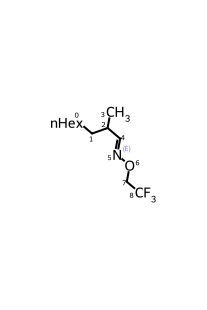 CCCCCCCC(C)/C=N/OCC(F)(F)F